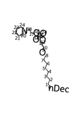 CCCCCCCCCCCCCCCCCCOCCOP(=O)([O-])OCC[n+]1ccccc1